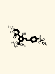 Cc1ccc(-c2cc(C(C)(C)C)cc(C=Cc3ccc(NS(C)(=O)=O)cc3)c2O)c(=O)[nH]1